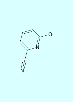 N#Cc1cccc([O])n1